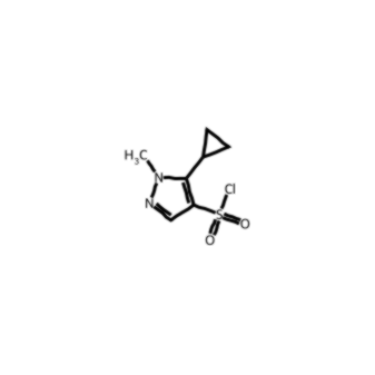 Cn1ncc(S(=O)(=O)Cl)c1C1CC1